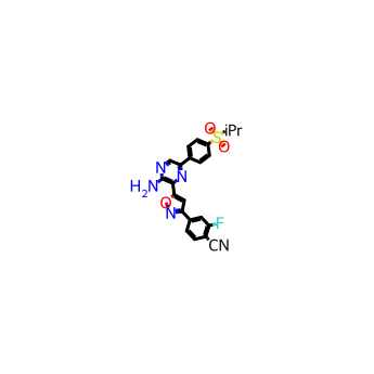 CC(C)S(=O)(=O)c1ccc(-c2cnc(N)c(-c3cc(-c4ccc(C#N)c(F)c4)no3)n2)cc1